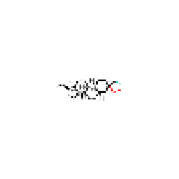 CC=C1CC[C@H]2[C@@H]3CC[C@H]4C[C@@](O)(CF)CC[C@@H]4[C@H]3CC[C@]12C